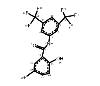 O=C(Nc1cc(C(F)(F)F)cc(C(F)(F)F)c1)c1cc(F)ccc1O